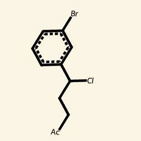 CC(=O)CCC(Cl)c1cccc(Br)c1